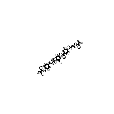 C=C(C)C(=O)OCCCOc1ccc(C(=O)Oc2ccc(OC(=O)CCc3ccc(OC(=O)C(=C)C)cc3)c(C)c2)cc1